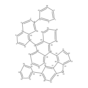 c1ccc(-c2ccc3cccc(-c4c5ccccc5c(-c5cccc6oc7ccc(-c8ccccc8)cc7c56)c5ccccc45)c3c2)cc1